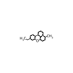 CCc1ccc2c(c1)Oc1ccc(C)c3cccc-2c13